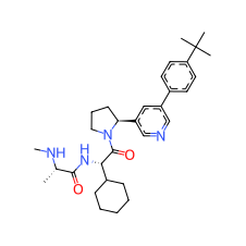 CN[C@@H](C)C(=O)N[C@H](C(=O)N1CCC[C@H]1c1cncc(-c2ccc(C(C)(C)C)cc2)c1)C1CCCCC1